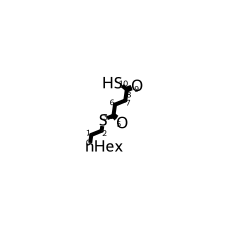 CCCCCCCCSC(=O)CCC(=O)S